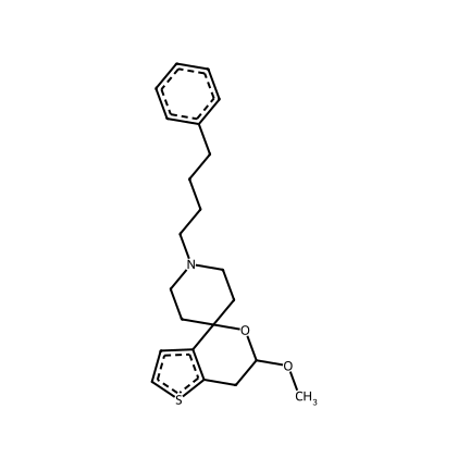 COC1Cc2sccc2C2(CCN(CCCCc3ccccc3)CC2)O1